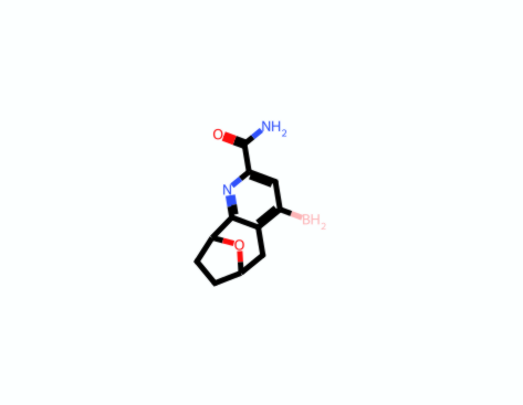 Bc1cc(C(N)=O)nc2c1CC1CCC2O1